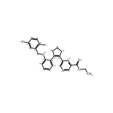 CCOC(=O)c1cncc(C2=C(c3ccccc3OCc3cc(F)ccc3F)CCC2)n1